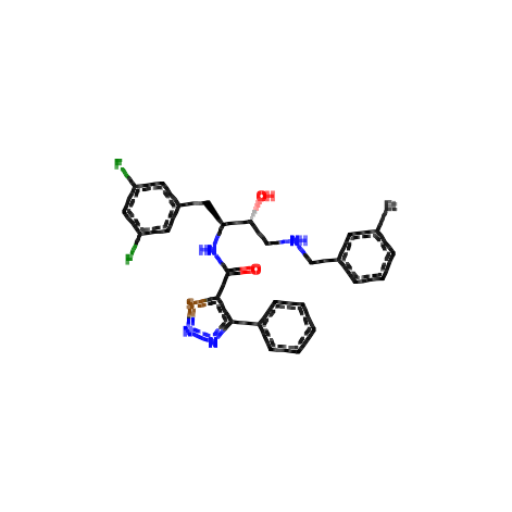 CCc1cccc(CNC[C@@H](O)[C@H](Cc2cc(F)cc(F)c2)NC(=O)c2snnc2-c2ccccc2)c1